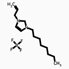 C=CCN1C=CN(CCCCCCCC)C1.F[B-](F)(F)F